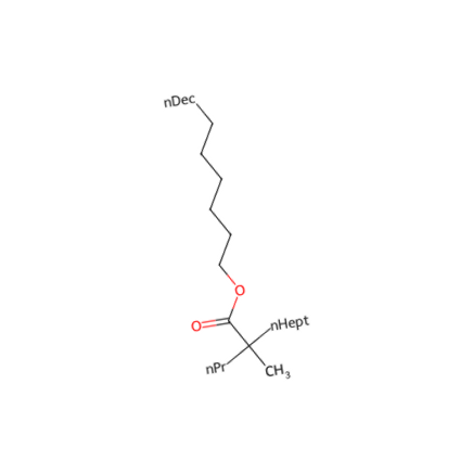 CCCCCCCCCCCCCCCCOC(=O)C(C)(CCC)CCCCCCC